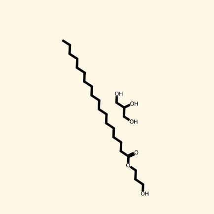 CCCCCCCCCCCCCCCCCC(=O)OCCCO.OCC(O)CO